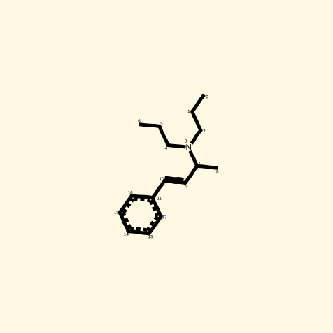 CCCN(CCC)C(C)C=Cc1ccccc1